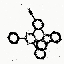 N#Cc1ccc(-n2c3ccccc3c3ccccc32)c(-c2nc(-c3ccccc3)nc(-c3ccccc3)n2)c1